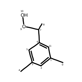 Cc1cc(C)cc(C(C)OO)c1